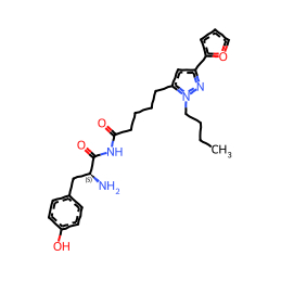 CCCCn1nc(-c2ccco2)cc1CCCCC(=O)NC(=O)[C@@H](N)Cc1ccc(O)cc1